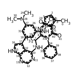 Cc1ccn2nc(C(C)Nc3ncnc4[nH]cc(-c5cc(NS(C)(=O)=O)cc(N(C)C)c5)c34)n(-c3ccccc3)c(=O)c12